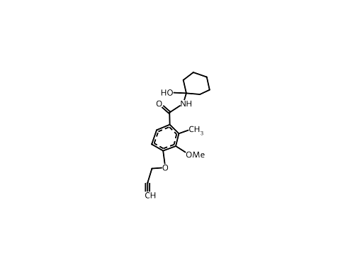 C#CCOc1ccc(C(=O)NC2(O)CCCCC2)c(C)c1OC